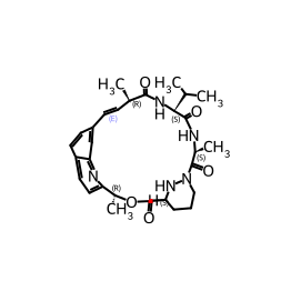 CC(C)[C@@H]1NC(=O)[C@H](C)/C=C/c2ccc3ccc(nc3c2)[C@@H](C)OC(=O)[C@@H]2CCCN(N2)C(=O)[C@H](C)NC1=O